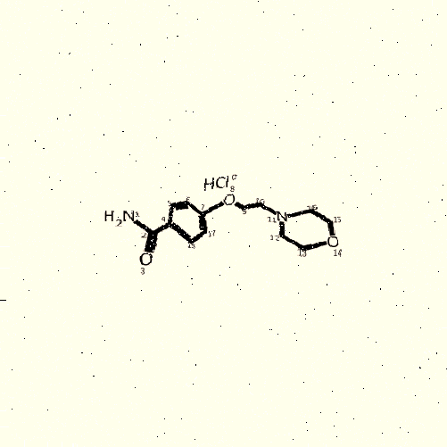 Cl.NC(=O)c1ccc(OCCN2CCOCC2)cc1